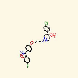 OC1(c2ccc(Cl)cc2)CCN(CCCOc2ccc(-c3noc4cc(F)ccc34)cc2)CC1